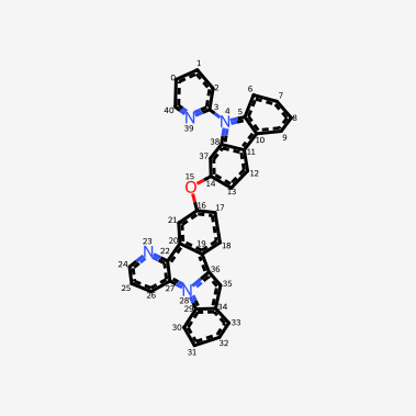 c1ccc(-n2c3ccccc3c3ccc(Oc4ccc5c(c4)c4ncccc4n4c6ccccc6cc54)cc32)nc1